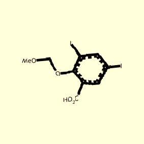 COCOc1c(I)cc(I)cc1C(=O)O